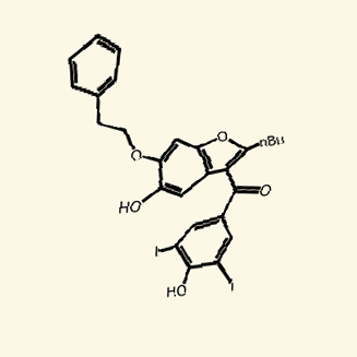 CCCCc1oc2cc(OCCc3ccccc3)c(O)cc2c1C(=O)c1cc(I)c(O)c(I)c1